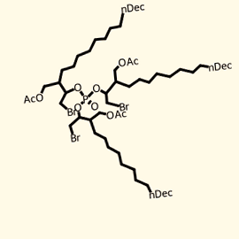 CCCCCCCCCCCCCCCCCCC(COC(C)=O)C(CBr)OP(=O)(OC(CBr)C(CCCCCCCCCCCCCCCCCC)COC(C)=O)OC(CBr)C(CCCCCCCCCCCCCCCCCC)COC(C)=O